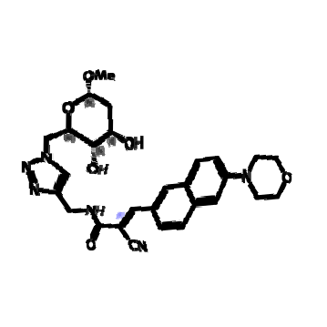 CO[C@@H]1C[C@@H](O)[C@H](O)[C@@H](Cn2cc(CNC(=O)/C(C#N)=C/c3ccc4cc(N5CCOCC5)ccc4c3)nn2)O1